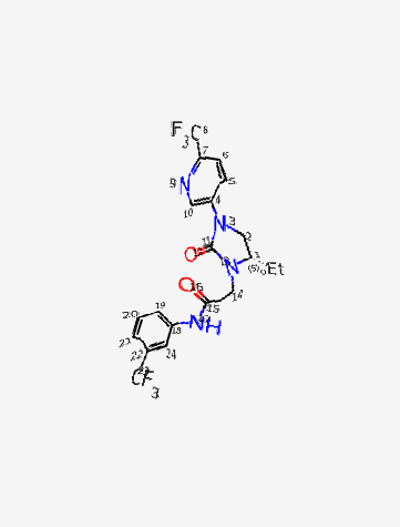 CC[C@H]1CN(c2ccc(C(F)(F)F)nc2)C(=O)N1CC(=O)Nc1cccc(C(F)(F)F)c1